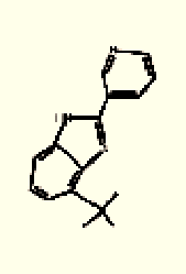 CC(C)(C)c1cccc2[nH]c(-c3cccnc3)nc12